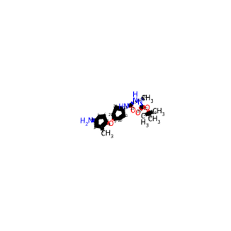 Cc1cc(N)ccc1Oc1ccc(NC(=O)NN(C)C(=O)OC(C)(C)C)cc1